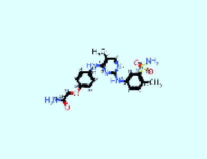 Cc1ccc(Nc2ncc(C)c(Nc3ccc(OCC(N)=O)cc3)n2)cc1S(N)(=O)=O